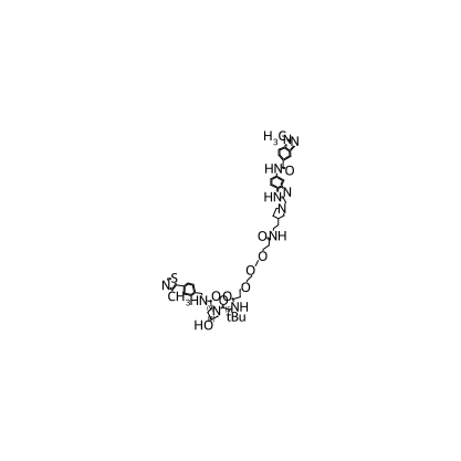 Cc1ncsc1-c1ccc(CNC(=O)[C@@H]2C[C@@H](O)CN2C(=O)[C@@H](NC(=O)CCOCCOCCOCCC(=O)NCCC2CCN(Cc3nc4cc(NC(=O)c5ccc6c(cnn6C)c5)ccc4[nH]3)C2)C(C)(C)C)cc1